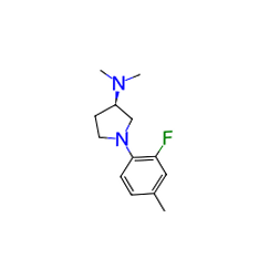 Cc1ccc(N2CC[C@@H](N(C)C)C2)c(F)c1